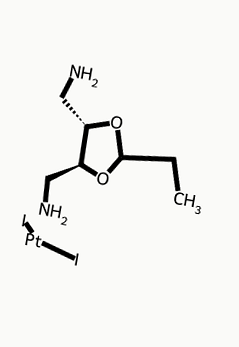 CCC1O[C@@H](CN)[C@H](CN)O1.[I][Pt][I]